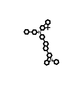 CC1(C)c2ccccc2-c2ccc(N(c3ccc(-c4ccccc4)cc3)c3ccc(-c4ccc5cc(-c6ccc7c(c6)c6ccccc6n7-c6ccccc6)ccc5c4)cc3)cc21